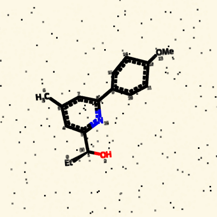 CC[C@H](O)c1cc(C)cc(-c2ccc(OC)cc2)n1